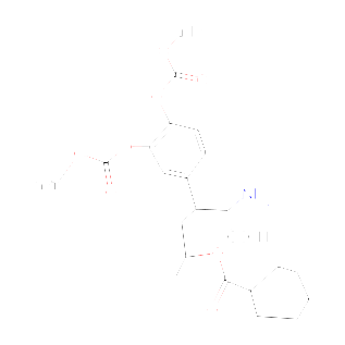 CCCOC(=O)Oc1ccc(C(CC(C)OC(=O)C2CCCCC2)[C@H](N)C(=O)O)cc1OC(=O)OCCC